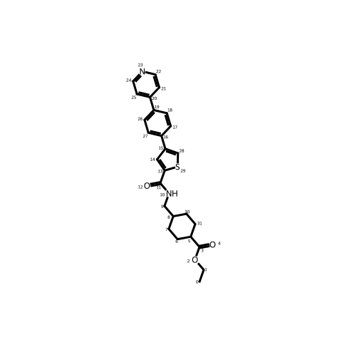 CCOC(=O)C1CCC(CNC(=O)c2cc(-c3ccc(-c4ccncc4)cc3)cs2)CC1